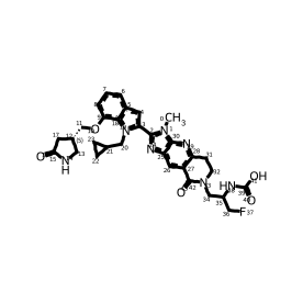 Cn1c(-c2cc3cccc(OC[C@@H]4CNC(=O)C4)c3n2CC2CC2)nc2cc3c(nc21)CCN(CC(CF)NC(=O)O)C3=O